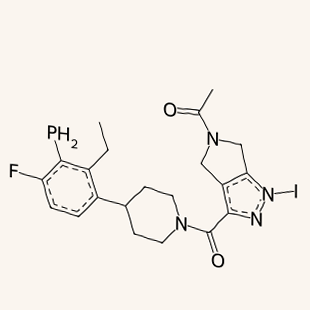 CCc1c(C2CCN(C(=O)c3nn(I)c4c3CN(C(C)=O)C4)CC2)ccc(F)c1P